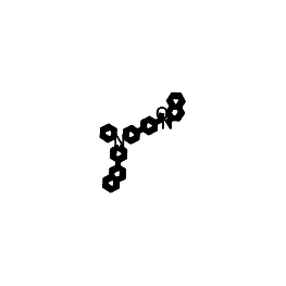 C1=CCC(N(c2ccc(-c3ccc(-c4nc5ccc6ccccc6c5o4)cc3)cc2)c2ccc(-c3ccc4ccccc4c3)cc2)C=C1